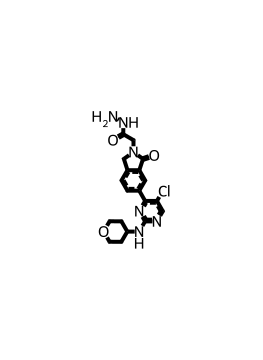 NNC(=O)CN1Cc2ccc(-c3nc(NC4CCOCC4)ncc3Cl)cc2C1=O